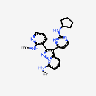 CC(C)Nc1ncccc1-c1nn2c(NC(C)C)cccc2c1-c1ccnc(NC2CCCC2)n1